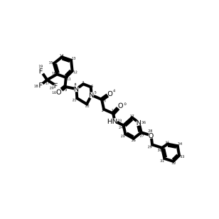 O=C(CC(=O)N1CCN(C(=O)c2ccccc2C(F)(F)F)CC1)Nc1ccc(OCc2ccccc2)nc1